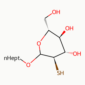 CCCCCCCOC1O[C@H](CO)[C@@H](O)[C@H](O)[C@H]1S